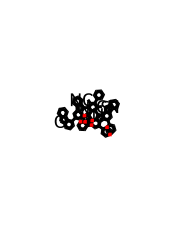 N#Cc1c(-c2ccccc2)c(C#N)c(-n2c3c4sc5ccccc5c4cc(-c4ccccc4)c3c3c(-c4ccccc4)cc4c5ccccc5sc4c32)c(-c2ccccc2)c1-n1c2ccccc2c2cc(-c3cccc4oc5ccccc5c34)ccc21